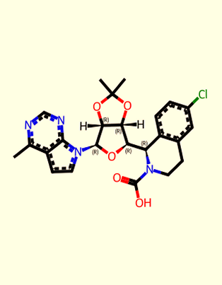 Cc1ncnc2c1ccn2[C@@H]1O[C@H]([C@H]2c3ccc(Cl)cc3CCN2C(=O)O)[C@H]2OC(C)(C)O[C@H]21